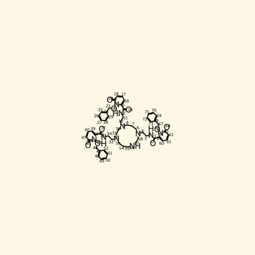 O=C(NCCN1CCCN(CCNC(=O)c2cccc(=O)n2OCc2ccccc2)CCN(CCNC(=O)c2cccc(=O)n2OCc2ccccc2)CCCNCC1)c1cccc(=O)n1OCc1ccccc1